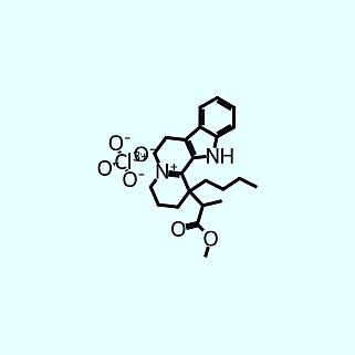 CCCCC1(C(C)C(=O)OC)CCC[N+]2=C1c1[nH]c3ccccc3c1CC2.[O-][Cl+3]([O-])([O-])[O-]